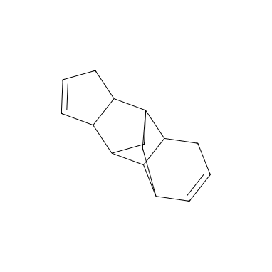 C1=CC2C3CC4(CC5C=CCC4C53)C2C1